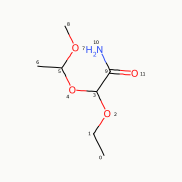 CCOC(OC(C)OC)C(N)=O